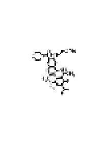 COCCNc1cc2c(NC(C)c3cc(N)cc(C(F)F)c3F)nc(C)nc2cc1C(=O)N1CCOCC1